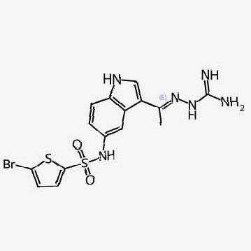 C/C(=N\NC(=N)N)c1c[nH]c2ccc(NS(=O)(=O)c3ccc(Br)s3)cc12